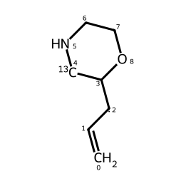 C=C[CH]C1[13CH2]NCCO1